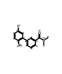 CC(C)c1ccc(F)cc1-c1cccc(C(=O)N(C)C)c1